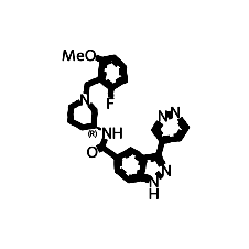 COc1cccc(F)c1CN1CCC[C@@H](NC(=O)c2ccc3[nH]nc(-c4ccnnc4)c3c2)C1